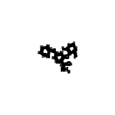 Cc1ccnc(C)c1Oc1cc(Sc2ccccn2)cnc1C(N)=O